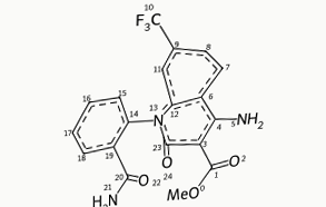 COC(=O)c1c(N)c2ccc(C(F)(F)F)cc2n(-c2ccccc2C(N)=O)c1=O